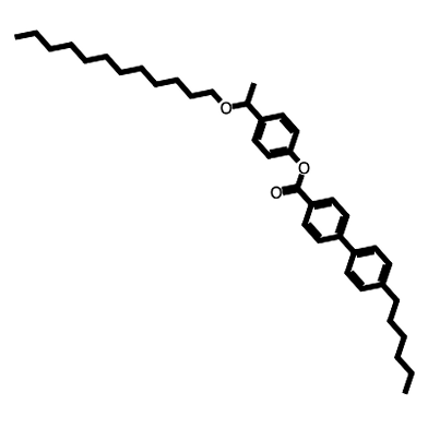 CCCCCCCCCCCCOC(C)c1ccc(OC(=O)c2ccc(-c3ccc(CCCCCC)cc3)cc2)cc1